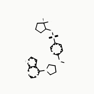 CN(c1ccc(S(=O)(=O)NC2CCC[C@]2(C)O)cn1)[C@@H]1CCN(c2ncnc3[nH]ccc23)C1